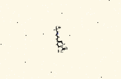 O=C(O)N1CCC(CC/C=C/CO)CC1